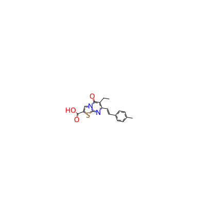 CCc1c(/C=C/c2ccc(C)cc2)nc2sc(C(=O)O)cn2c1=O